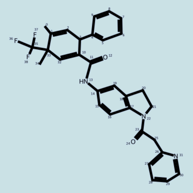 CC1=CC(c2ccccc2)C(C(=O)Nc2ccc3c(c2)CCN3C(=O)Cc2ccccn2)=CC1(C)C(F)(F)F